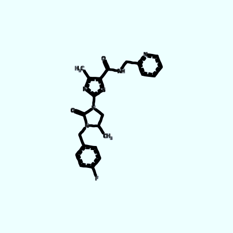 Cc1nc(N2CC(C)N(Cc3ccc(F)cc3)C2=O)sc1C(=O)NCc1ccccn1